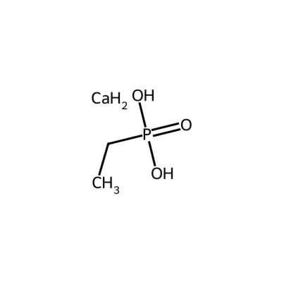 CCP(=O)(O)O.[CaH2]